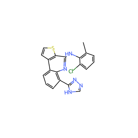 Cc1cccc(Cl)c1Nc1nc2c(-c3nnc[nH]3)cccc2c2ccsc12